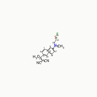 CC(=C(C#N)C#N)c1ccc2cc(N(C)CCSF)ccc2c1